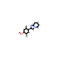 COc1cc(C)c(-c2cn3ccccc3n2)cc1Cl